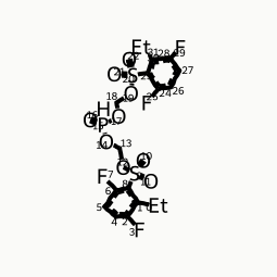 CCc1c(F)ccc(F)c1S(=O)(=O)OCO[PH](=O)OCOS(=O)(=O)c1c(F)ccc(F)c1CC